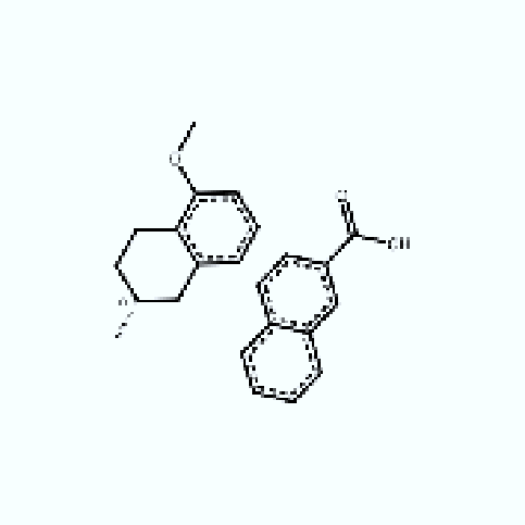 COc1cccc2c1CC[C@@H](C)C2.O=C(O)c1ccc2ccccc2c1